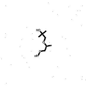 CCCOCC(C)OCC(C)(C)O